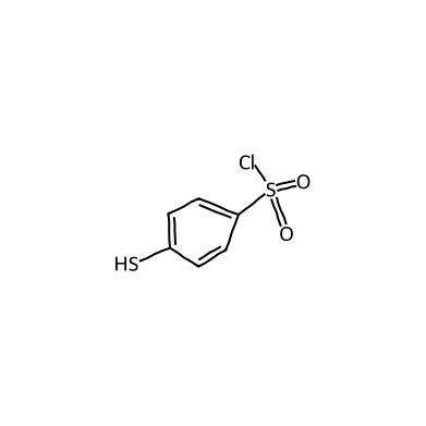 O=S(=O)(Cl)c1ccc(S)cc1